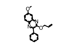 C=CCOc1nc2cc(OC)ccc2nc1-c1ccccc1